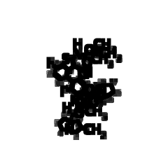 C=C1CN2CCC[C@]2(COc2nc(N3CC4CCC(C3)N4C(=O)OC(C)(C)C)c3cc(Cl)c(-c4ccc(F)c5sc(NC(=O)OC(C)(C)C)c(C#N)c45)c(F)c3n2)C1